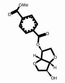 COC(=O)c1ccc(C(=O)O[C@H]2CO[C@H]3[C@@H]2OC[C@@H]3O)cc1